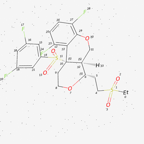 CCS(=O)(=O)CC[C@@H]1OCC[C@@]2(S(=O)(=O)c3cc(F)cc(F)c3)c3c(F)ccc(F)c3OC[C@@H]12